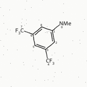 [CH2]Nc1cc(C(F)(F)F)cc(C(F)(F)F)c1